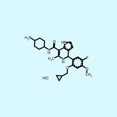 COc1cc(OCC2CC2)c(C2NC(C)=C(C(=O)NC3CCC(N)CC3)c3[nH]ccc32)cc1F.Cl